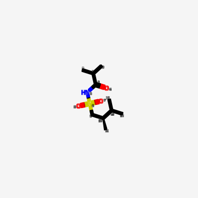 CC(C)C(=O)NS(=O)(=O)C[C@H](C)C(C)C